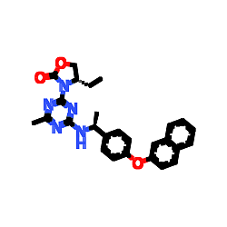 CC[C@H]1COC(=O)N1c1nc(C)nc(N[C@@H](C)c2ccc(Oc3ccc4ccccc4c3)cc2)n1